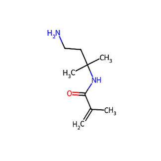 C=C(C)C(=O)NC(C)(C)CCN